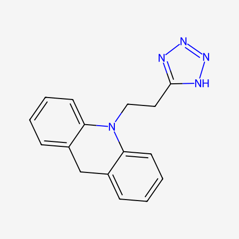 c1ccc2c(c1)Cc1ccccc1N2CCc1nnn[nH]1